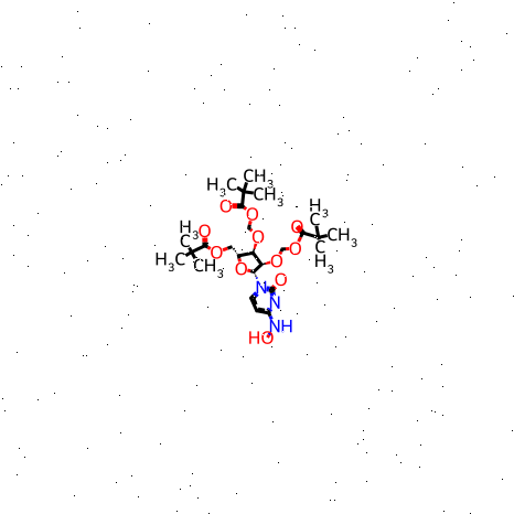 CC(C)(C)C(=O)OCO[C@@H]1[C@H](OCOC(=O)C(C)(C)C)[C@@H](COC(=O)C(C)(C)C)O[C@H]1n1ccc(NO)nc1=O